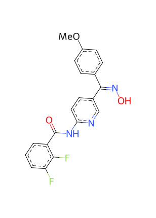 COc1ccc(/C(=N/O)c2ccc(NC(=O)c3cccc(F)c3F)nc2)cc1